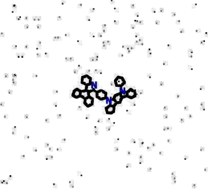 c1ccc(-n2c3ccccc3c3cc4c5ccccc5n(-c5ccc(-c6nc7ccccc7c7c8ccccc8c8ccccc8c67)cc5)c4cc32)cc1